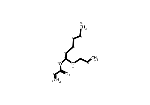 C=CC(=O)OC(CCCCC)OCCC